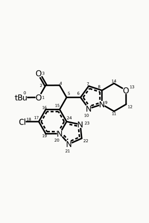 CC(C)(C)OC(=O)CC(c1cc2n(n1)CCOC2)c1cc(Cl)cn2ncnc12